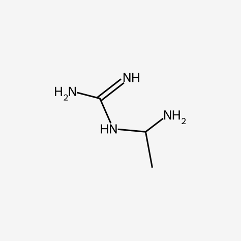 CC(N)NC(=N)N